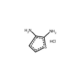 Cl.Nc1ccsc1N